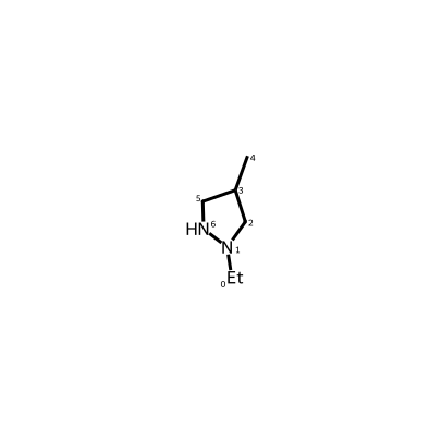 CCN1CC(C)CN1